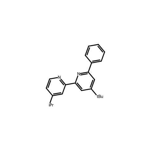 CC(C)c1ccnc(-c2cc(C(C)(C)C)cc(-c3ccccc3)n2)c1